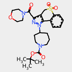 CC(C)(C)OC(=O)N1CCCC(n2nc(C(=O)N3CCOCC3)c3c2-c2ccccc2S(=O)(=O)C3)CC1